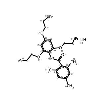 Cc1cc(C)c(C(=O)Pc2c(OCCC(C)C)cc(OCCC(C)C)cc2OCCC(C)C)c(C)c1.[LiH]